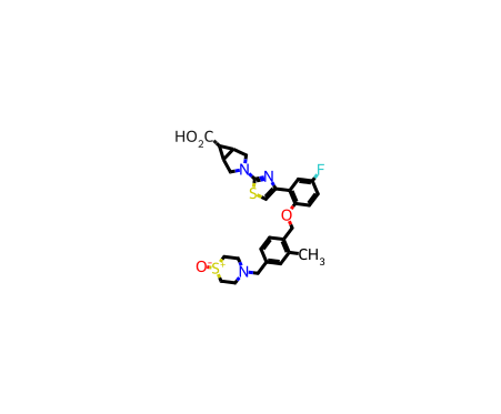 Cc1cc(CN2CC[S+]([O-])CC2)ccc1COc1ccc(F)cc1-c1csc(N2CC3C(C2)C3C(=O)O)n1